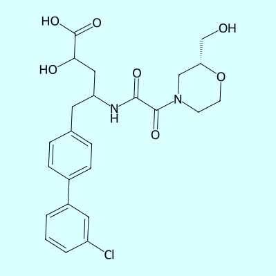 O=C(NC(Cc1ccc(-c2cccc(Cl)c2)cc1)CC(O)C(=O)O)C(=O)N1CCO[C@@H](CO)C1